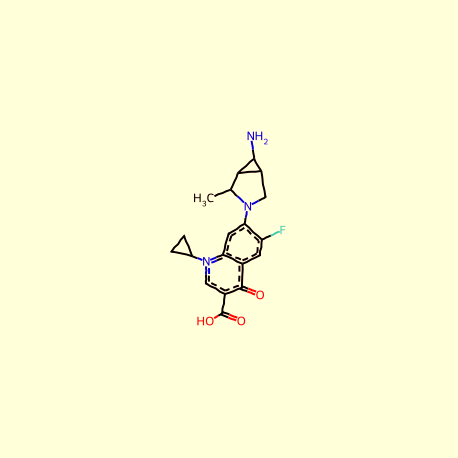 CC1C2C(N)C2CN1c1cc2c(cc1F)c(=O)c(C(=O)O)cn2C1CC1